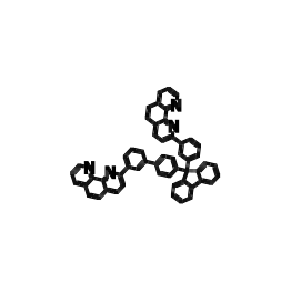 c1cc(-c2ccc(C3(c4cccc(-c5ccc6ccc7cccnc7c6n5)c4)c4ccccc4-c4ccccc43)cc2)cc(-c2ccc3ccc4cccnc4c3n2)c1